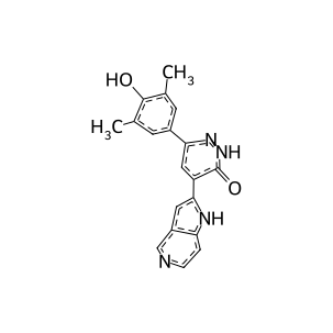 Cc1cc(-c2cc(-c3cc4cnccc4[nH]3)c(=O)[nH]n2)cc(C)c1O